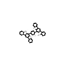 CN1c2c(cc3c4ccccc4n4c5cc6c7c8c(cc9c%10ccccc%10n(c6cc5c2c34)c97)c2ccccc2n8C)C2C=CC=CC21